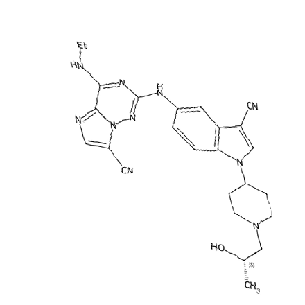 CCNc1nc(Nc2ccc3c(c2)c(C#N)cn3C2CCN(C[C@H](C)O)CC2)nn2c(C#N)cnc12